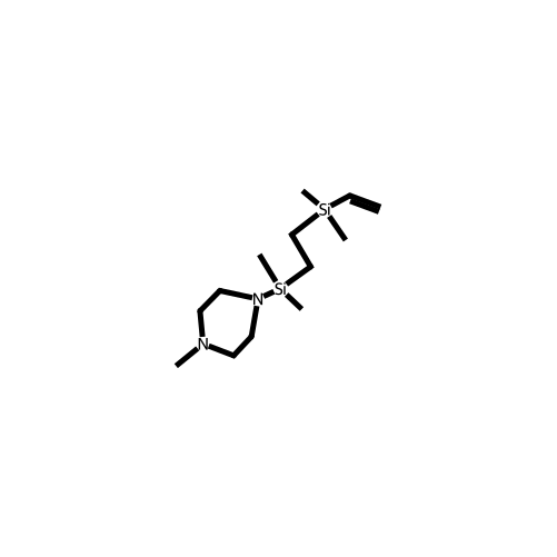 C=C[Si](C)(C)CC[Si](C)(C)N1CCN(C)CC1